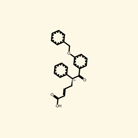 O=C(O)C=CC[C@H](C(=O)c1cccc(OCc2ccccc2)c1)c1ccccc1